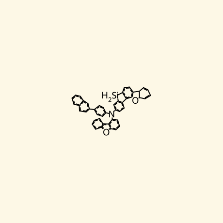 C1=CC2Oc3c(ccc4c3-c3ccc(N(c5ccc(-c6ccc7ccccc7c6)cc5)c5cccc6oc7ccccc7c56)cc3[SiH2]4)C2C=C1